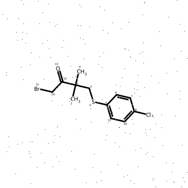 CC(C)(CSc1ccc(Cl)cc1)C(=O)CBr